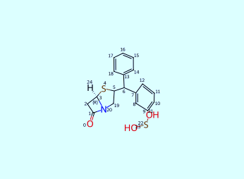 O=C1C[C@H]2SC(C(c3ccccc3)c3ccccc3)CN12.OSO